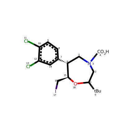 CC(C)(C)C1CN(C(=O)O)C[C@@H](c2ccc(Cl)c(Cl)c2)[C@H](CI)O1